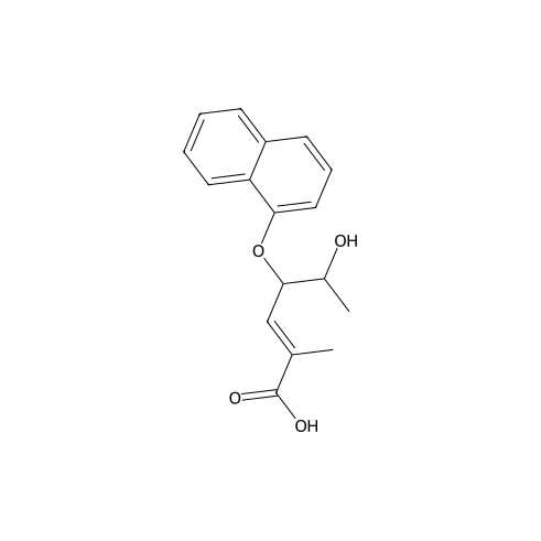 CC(=CC(Oc1cccc2ccccc12)C(C)O)C(=O)O